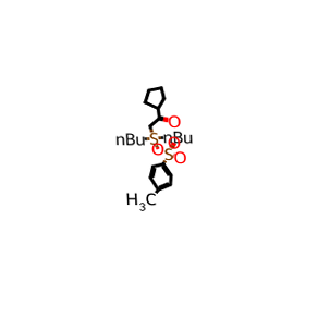 CCCCS(CCCC)(CC(=O)C1CCCC1)OS(=O)(=O)c1ccc(C)cc1